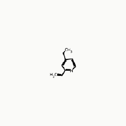 C=Cc1cc(CC)ccn1